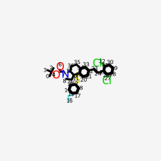 CC(C)(C)OC(=O)N1CCC2(Sc3ccc(F)cc3)c3ccc(/C=C/c4c(Cl)cccc4Cl)cc3CCC12